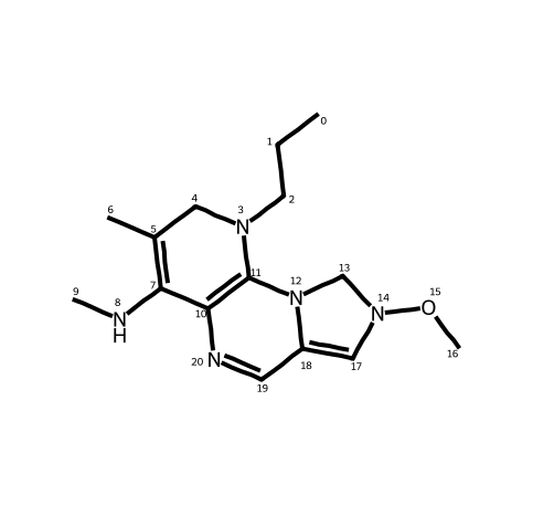 CCCN1CC(C)=C(NC)C2=C1N1CN(OC)C=C1C=N2